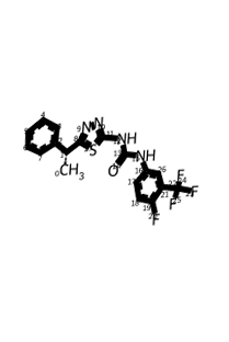 C[C@H](c1ccccc1)c1nnc(NC(=O)Nc2ccc(F)c(C(F)(F)F)c2)s1